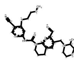 COCCSc1cc(NC(=O)N2CCCc3cc(CN4CCOCC4C)c(C=O)nc32)ncc1C#N